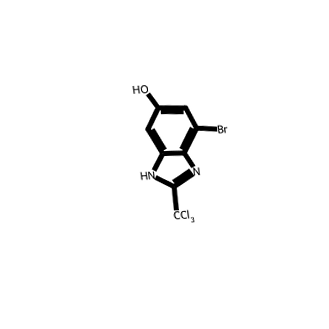 Oc1cc(Br)c2nc(C(Cl)(Cl)Cl)[nH]c2c1